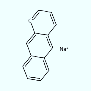 [Na+].[c-]1cccc2cc3ccccc3cc12